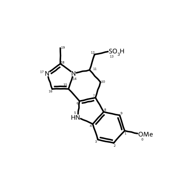 COc1ccc2[nH]c3c(c2c1)CC(CS(=O)(=O)O)n1c-3cnc1C